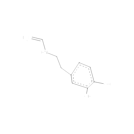 C=CNCCc1ccc(O)c(O)c1